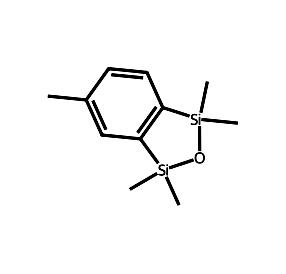 Cc1ccc2c(c1)[Si](C)(C)O[Si]2(C)C